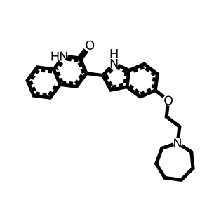 O=c1[nH]c2ccccc2cc1-c1cc2cc(OCCN3CCCCCC3)ccc2[nH]1